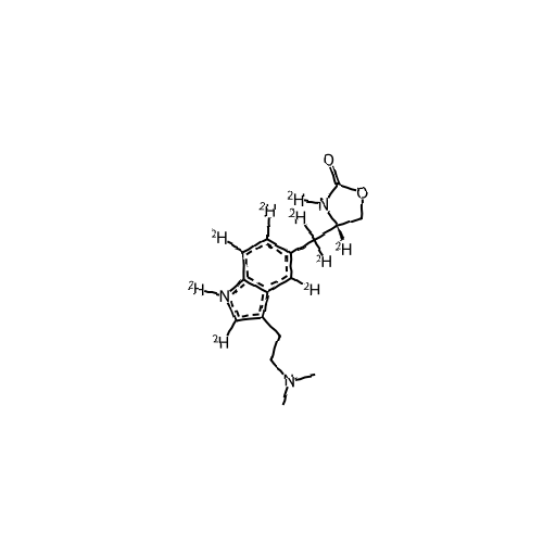 [2H]c1c(C([2H])([2H])[C@@]2([2H])COC(=O)N2[2H])c([2H])c2c(CCN(C)C)c([2H])n([2H])c2c1[2H]